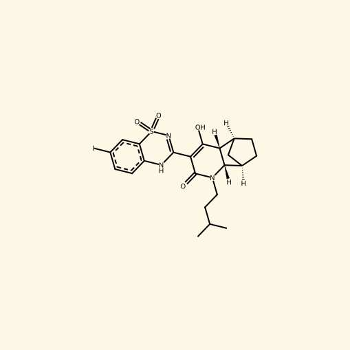 CC(C)CCN1C(=O)C(C2=NS(=O)(=O)c3cc(I)ccc3N2)=C(O)[C@@H]2[C@H]3CC[C@H](C3)[C@@H]21